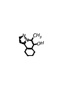 CC1C(O)C2=C(CCCC2)c2ccnn21